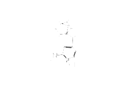 Nc1cc(CC23CCC(CC2)C3)ccc1O